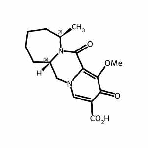 COc1c2n(cc(C(=O)O)c1=O)C[C@@H]1CCCC[C@@H](C)N1C2=O